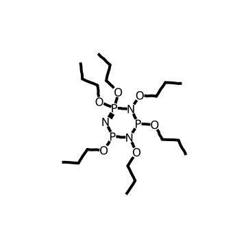 CCCON1P(OCCC)N=P(OCCC)(OCCC)N(OCCC)P1OCCC